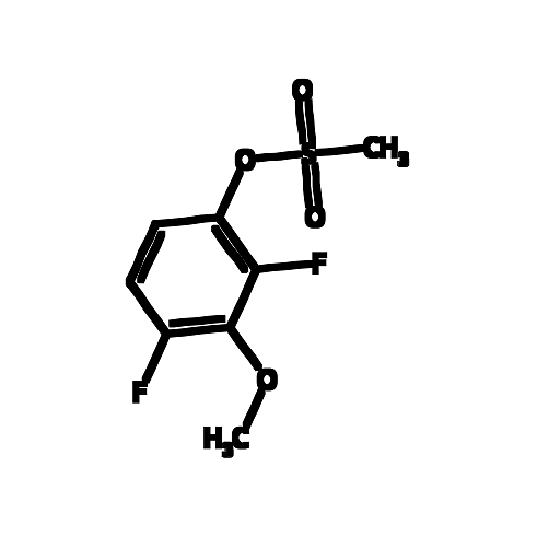 COc1c(F)ccc(OS(C)(=O)=O)c1F